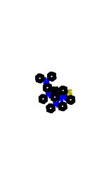 B1c2cc(N(c3ccccc3)c3ccccc3)ccc2N(c2ccccc2)c2cc(N(c3ccccc3)c3ccccc3)cc(-c3cccc4c3Nc3ccccc3S4)c21